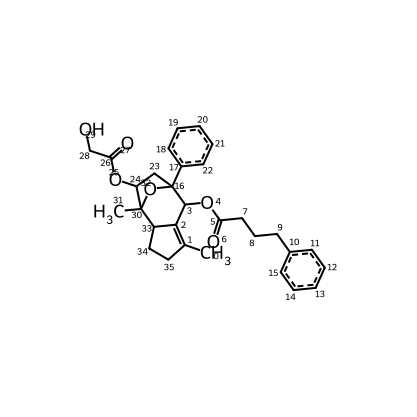 CC1=C2C(OC(=O)CCCc3ccccc3)C3(c4ccccc4)CC(OC(=O)CO)C(C)(O3)C2CC1